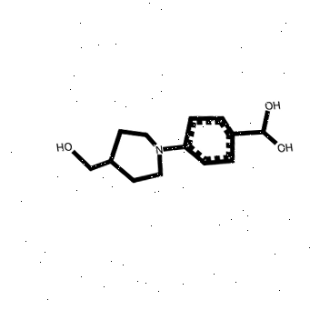 OCC1CCN(c2ccc(C(O)O)cc2)CC1